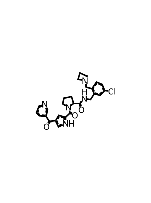 O=C(c1cccnc1)c1c[nH]c(C(=O)N2CCC[C@H]2C(=O)NCc2cc(Cl)ccc2CN2CCC2)c1